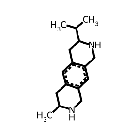 CC1Cc2cc3c(cc2CN1)CNC(C(C)C)C3